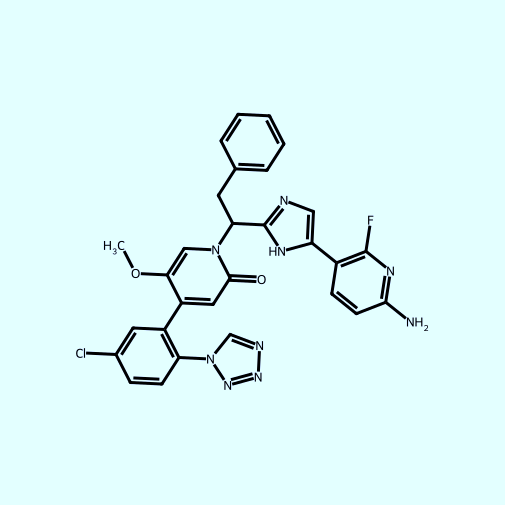 COc1cn(C(Cc2ccccc2)c2ncc(-c3ccc(N)nc3F)[nH]2)c(=O)cc1-c1cc(Cl)ccc1-n1cnnn1